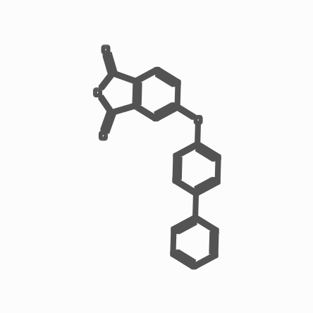 O=C1OC(=O)c2cc(Oc3ccc(-c4ccccc4)cc3)ccc21